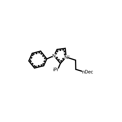 CCCCCCCCCCCC[n+]1ccn(-c2ccccc2)c1C(C)C